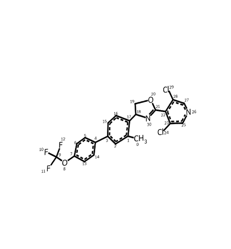 Cc1cc(-c2ccc(OC(F)(F)F)cc2)ccc1C1COC(c2c(Cl)cncc2Cl)=N1